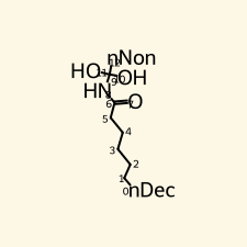 CCCCCCCCCCCCCCCC(=O)NC(O)(O)CCCCCCCCC